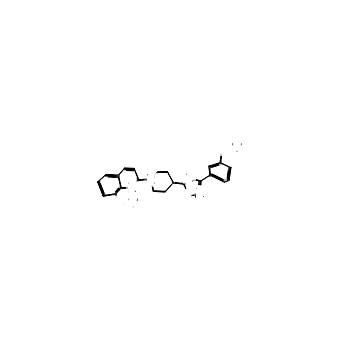 COc1cccc(-c2noc(C3CCN(c4ccc5cccc(OC)c5n4)CC3)n2)c1